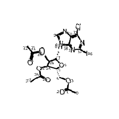 CC(=O)OC[C@H]1O[C@@H](n2cnc3c(Cl)nc(I)nc32)C(OC(C)=O)C1OC(C)=O